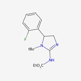 CCOC(=O)NC1=NCC(c2ccccc2F)N1C(C)(C)C